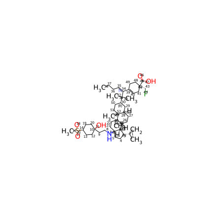 C=C(C)[C@@H]1CC[C@]2(NCC[C@]3(O)CC[C@@H](S(C)(=O)=O)CC3)CC[C@]3(C)[C@H](CC[C@@H]4C[C@H](C(C)(C)/C(=C\CCC)C5=CC[C@](CF)(C(=O)O)CC5)CC[C@]43C)[C@@H]12